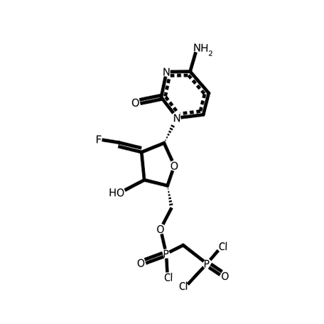 Nc1ccn([C@@H]2O[C@H](COP(=O)(Cl)CP(=O)(Cl)Cl)C(O)/C2=C\F)c(=O)n1